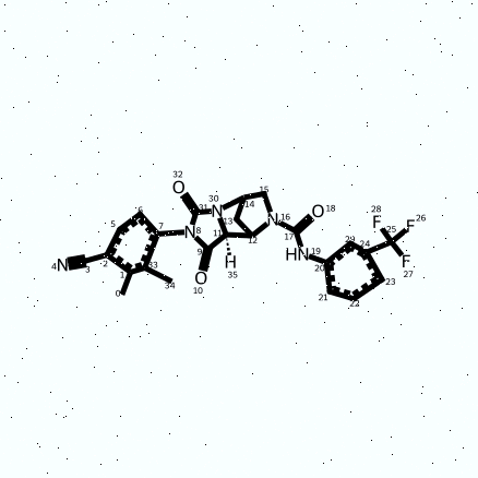 Cc1c(C#N)ccc(N2C(=O)[C@@H]3C4CC(CN4C(=O)Nc4cccc(C(F)(F)F)c4)N3C2=O)c1C